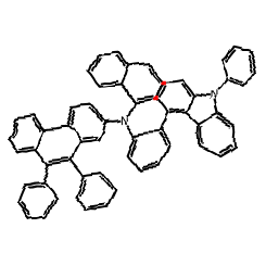 c1ccc(-c2c(-c3ccccc3)c3cc(N(c4ccccc4-c4cccc5c4c4ccccc4n5-c4ccccc4)c4cccc5ccccc45)ccc3c3ccccc23)cc1